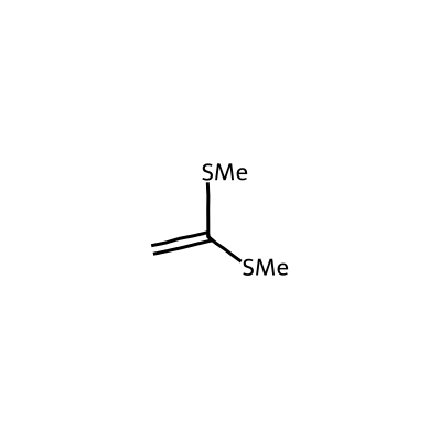 C=C(SC)SC